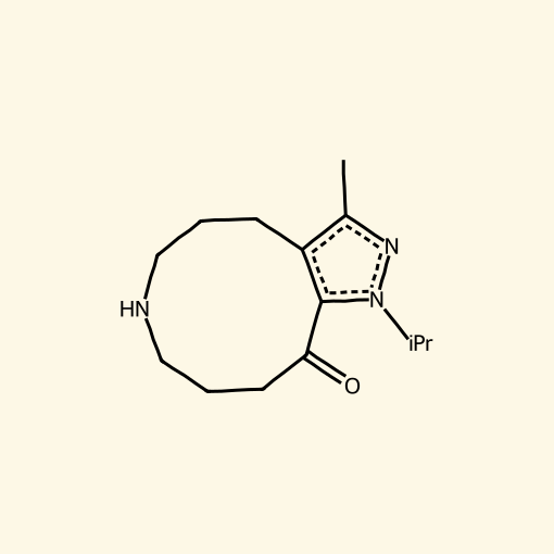 Cc1nn(C(C)C)c2c1CCCNCCCC2=O